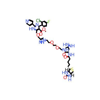 COC(=O)C1=C(COCc2cn(CCOCCOCCNC(=O)[C@H](CC3(C)NN3)NC(=O)CCCC[C@@H]3SC[C@@H]4NC(=O)N[C@@H]43)nn2)NC(c2ccncc2)=NC1c1ccc(F)cc1Cl